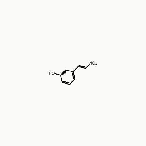 O=[N+]([O-])/C=C/c1cccc(O)c1